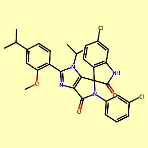 COc1cc(C(C)C)ccc1-c1nc2c(n1C(C)C)C1(C(=O)Nc3cc(Cl)ccc31)N(c1cccc(Cl)c1)C2=O